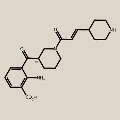 Nc1c(C(=O)O)cccc1C(=O)[C@@H]1CCCN(C(=O)C=CC2CCNCC2)C1